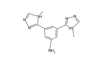 C[SH]1C=NN=C1c1cc(N)cc(C2=NN=C[SH]2C)c1